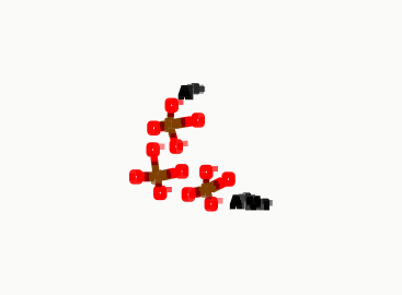 O=S(=O)([O-])[O-].O=S(=O)([O-])[O-].O=S(=O)([O-])[O-].[Al+3].[Al+3].[Mn]